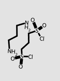 NCCCN.O=S(=O)(Cl)CCCS(=O)(=O)Cl